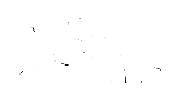 O=C1N[C@@H]2C(=C[C@H](O)[C@@H](O)[C@H]2O)c2cc3c(c(O[C@@H]4O[C@H](CO)[C@@H](O)[C@H](O)[C@H]4O)c21)OCO3